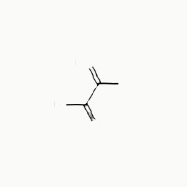 [CH2]C(=C)C(C)=O